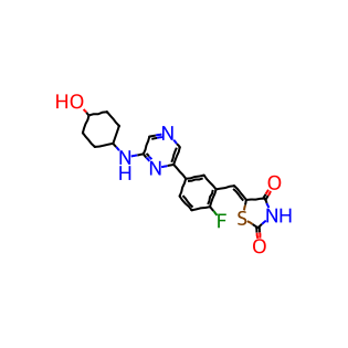 O=C1NC(=O)C(=Cc2cc(-c3cncc(NC4CCC(O)CC4)n3)ccc2F)S1